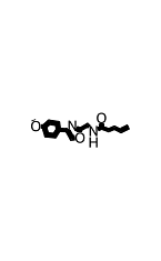 C=CCCC(=O)NCc1nc(-c2ccc(OC)cc2)co1